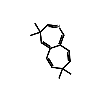 CC1(C)C=CC2=CN=CC(C)(C)C=C2C=C1